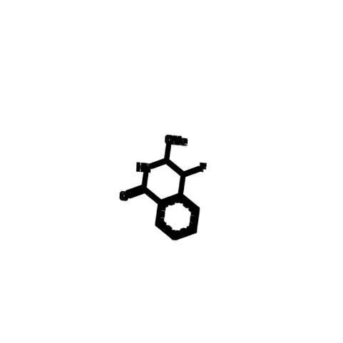 COC1NC(=O)c2ccccc2C1F